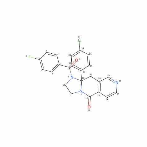 O=C(c1ccc(F)cc1)N1CCN2C(=O)c3ccncc3CC12c1ccc(Cl)cc1